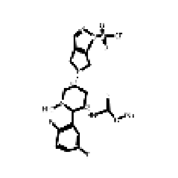 CN1C[C@H](N2Cc3cnn(S(=O)(=O)C(F)(F)F)c3C2)C[C@H](NC(=O)OC(C)(C)C)C1c1cc(F)ccc1F